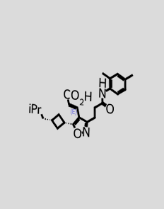 Cc1ccc(NC(=O)CCc2noc([C@H]3C[C@@H](CC(C)C)C3)c2/C=C/C(=O)O)c(C)c1